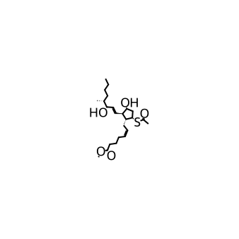 CCCC[C@@H](C)[C@H](O)/C=C/[C@@H]1[C@@H](C/C=C\CCCC(=O)OC)[C@@H](SC(C)=O)C[C@H]1O